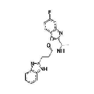 CC(NC(=O)CCc1nc2ccccc2[nH]1)c1nc2cc(F)ccc2o1